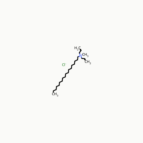 C=CC[N+](C)(CC=C)CCCCCCCCCCCCCCCCCC.[Cl-]